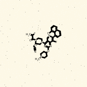 C=C(F)C(=O)N1CCN(c2nc(OC3CCN(C)CC3)nc3c(F)c(-c4cccc5cccc(Cl)c45)ncc23)C[C@@H]1CC#N